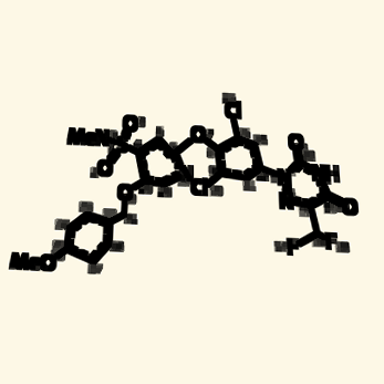 CNS(=O)(=O)c1cc(Oc2c(Cl)cc(-n3nc(C(F)F)c(=O)[nH]c3=O)cc2Cl)ncc1OCc1ccc(OC)cc1